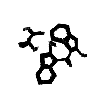 CCCCc1cc2ccccn2c1C(=O)c1c(CCCC)cc2ccccn12.O=C(O)C(=O)O